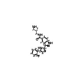 NCCCNC(=O)c1ccc2[nH]nc(-c3ncc(-c4ccccc4F)[nH]3)c2c1